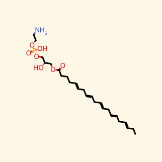 CC/C=C/C/C=C/C/C=C/C/C=C/C/C=C/CCCC(=O)OC[C@@H](O)COP(=O)(O)OCCN